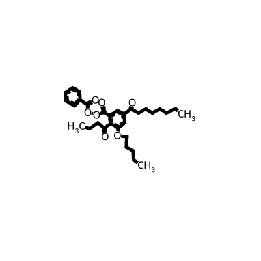 CCCCCCCC(=O)c1cc(OCCCCC)c(C(=O)CCC)c(C(=O)OOC(=O)c2ccccc2)c1